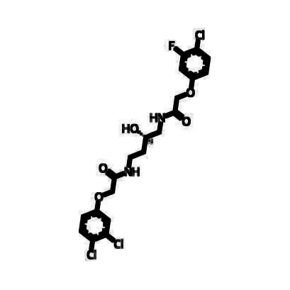 O=C(COc1ccc(Cl)c(Cl)c1)NCC[C@H](O)CNC(=O)COc1ccc(Cl)c(F)c1